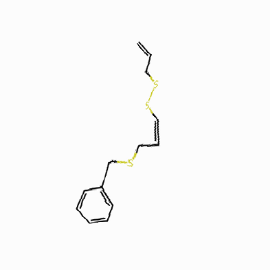 C=CCSS/C=C\CSCc1ccccc1